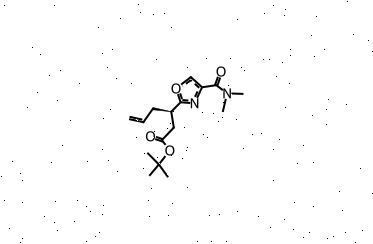 C=CC[C@H](CC(=O)OC(C)(C)C)c1nc(C(=O)N(C)C)co1